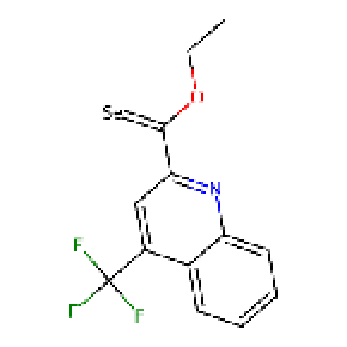 CCOC(=[Se])c1cc(C(F)(F)F)c2ccccc2n1